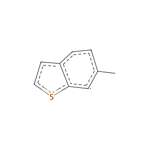 Cc1[c]c2sccc2cc1